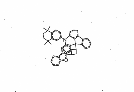 CC1(C)CCC(C)(C)c2cc(N(c3ccc4oc5ccccc5c4c3)c3cccc4c3C3(c5ccccc5-4)C4CC5CC6CC3C64C5)ccc21